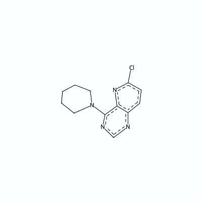 Clc1ccc2ncnc(N3CCCCC3)c2n1